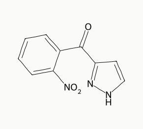 O=C(c1cc[nH]n1)c1ccccc1[N+](=O)[O-]